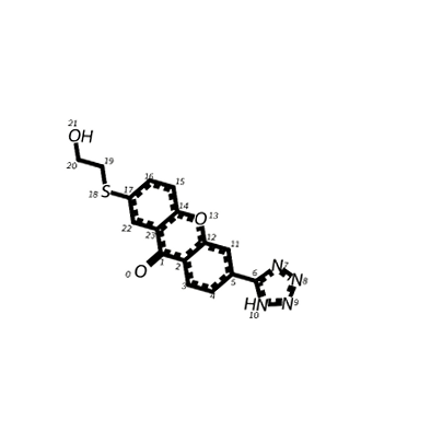 O=c1c2ccc(-c3nnn[nH]3)cc2oc2ccc(SCCO)cc12